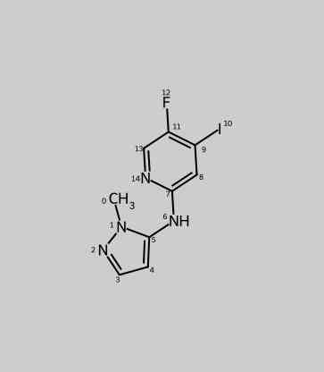 Cn1nccc1Nc1cc(I)c(F)cn1